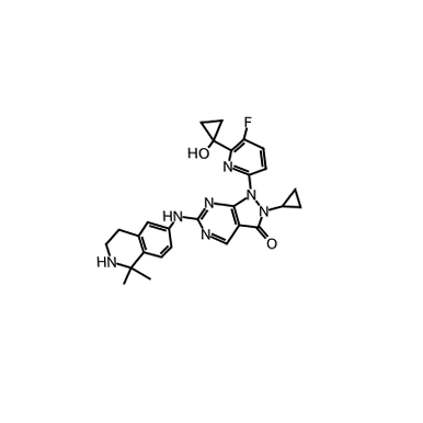 CC1(C)NCCc2cc(Nc3ncc4c(=O)n(C5CC5)n(-c5ccc(F)c(C6(O)CC6)n5)c4n3)ccc21